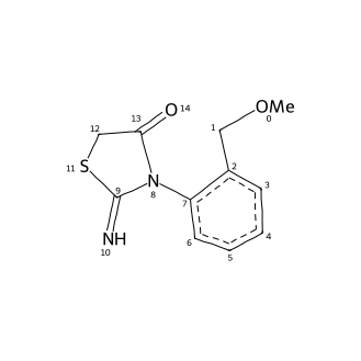 COCc1ccccc1N1C(=N)SCC1=O